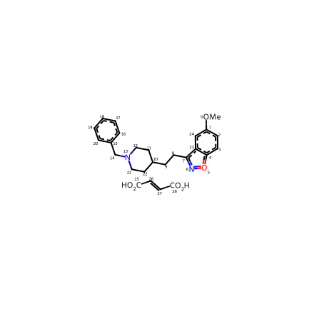 COc1ccc2onc(CCC3CCN(Cc4ccccc4)CC3)c2c1.O=C(O)C=CC(=O)O